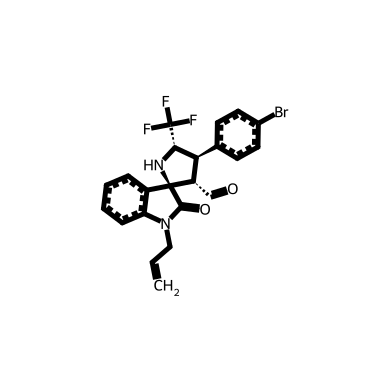 C=CCN1C(=O)[C@]2(N[C@H](C(F)(F)F)[C@@H](c3ccc(Br)cc3)[C@@H]2C=O)c2ccccc21